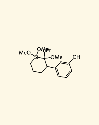 CCCC1(OC)C(c2cccc(O)c2)CCC[Si]1(OC)OC